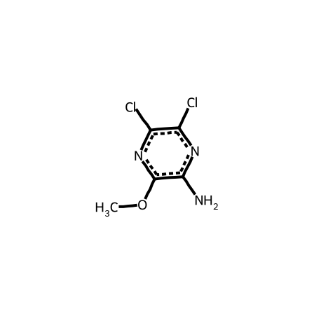 COc1nc(Cl)c(Cl)nc1N